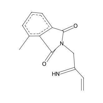 C=CC(=N)CN1C(=O)c2cccc(C)c2C1=O